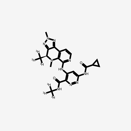 [2H]C([2H])([2H])NC(=O)c1nnc(NC(=O)C2CC2)cc1Nc1nccc2c1N(C)[C@@H](C([2H])([2H])[2H])c1nn(C)nc1-2